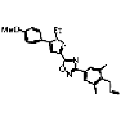 C=CCc1c(C)cc(-c2noc(-c3cc(-c4ccc(OC)cc4)n(CC)n3)n2)cc1C